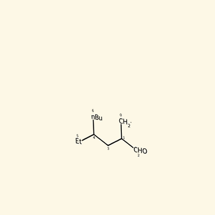 [CH2]C(C=O)CC(CC)CCCC